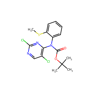 CSc1ccccc1N(C(=O)OC(C)(C)C)c1nc(Cl)ncc1Cl